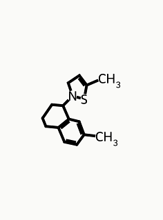 CC1=CCN(C2CCCc3ccc(C)cc32)S1